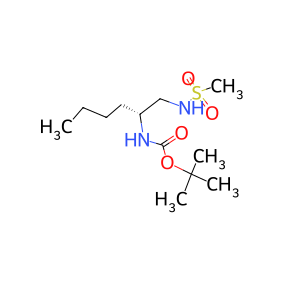 CCCC[C@H](CNS(C)(=O)=O)NC(=O)OC(C)(C)C